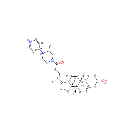 CC1CN(C(=O)CC[C@@H](C)[C@H]2CC[C@H]3[C@@H]4CC=C5C[C@@H](O)CC[C@]5(C)[C@H]4CC[C@]23C)CCN1c1ccncc1